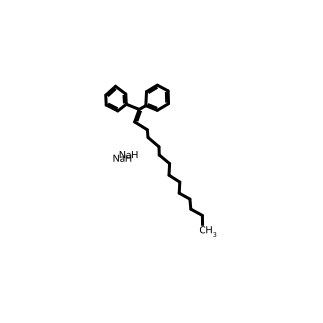 CCCCCCCCCCCCC=C(c1ccccc1)c1ccccc1.[NaH].[NaH]